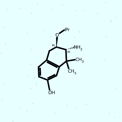 CC(C)O[C@@H]1Cc2ccc(O)cc2C(C)(C)[C@H]1N